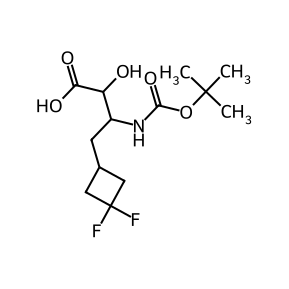 CC(C)(C)OC(=O)NC(CC1CC(F)(F)C1)C(O)C(=O)O